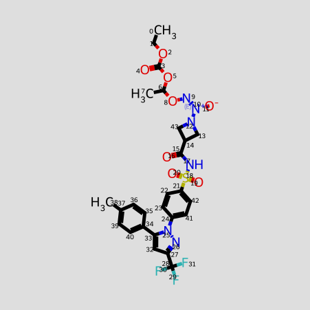 CCOC(=O)OC(C)O/N=[N+](/[O-])N1CC(C(=O)NS(=O)(=O)c2ccc(-n3nc(C(F)(F)F)cc3-c3ccc(C)cc3)cc2)C1